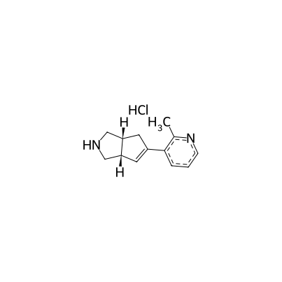 Cc1ncccc1C1=C[C@@H]2CNC[C@@H]2C1.Cl